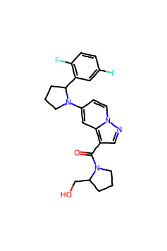 O=C(c1cnn2ccc(N3CCCC3c3cc(F)ccc3F)cc12)N1CCCC1CO